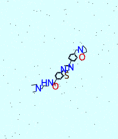 CCN(CC)CCCNC(=O)c1ccc2c(c1)sc1nc(-c3ccc(CN4CCCC4=O)cc3)cn12